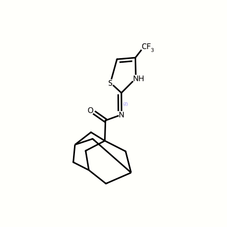 O=C(/N=c1/[nH]c(C(F)(F)F)cs1)C12CC3CC(CC(C3)C1)C2